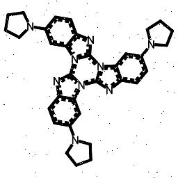 c1cc2nc3n(c2cc1N1CCCC1)c1nc2ccc(N4CCCC4)cc2n1c1nc2ccc(N4CCCC4)cc2n31